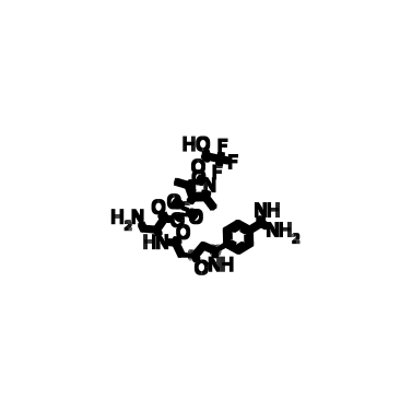 Cc1noc(C)c1S(=O)(=O)OC(=O)C(CN)NC(=O)C[C@H]1C[C@@H](c2ccc(C(=N)N)cc2)NO1.O=C(O)C(F)(F)F